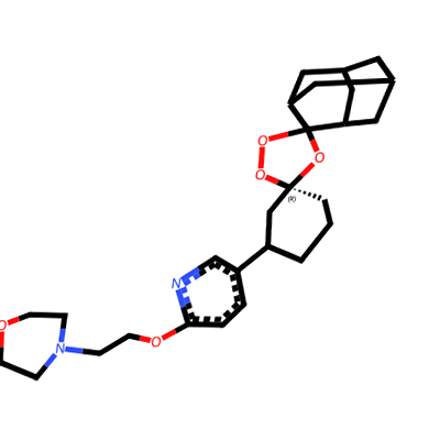 c1cc(OCCN2CCOCC2)ncc1C1CCC[C@]2(C1)OOC1(O2)C2CC3CC(C2)CC1C3